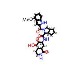 COc1cccc2[nH]c(C(=O)N3CC4CCCC4C3C(=O)NC(CC3CCCNC3=O)C(=O)CO)cc12